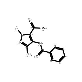 CCn1nc(C)c(NC(=O)c2ccccc2)c1C(=O)OC